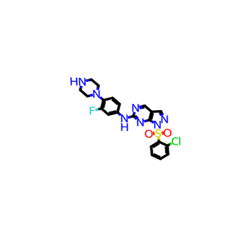 O=S(=O)(c1ccccc1Cl)n1ncc2cnc(Nc3ccc(N4CCNCC4)c(F)c3)nc21